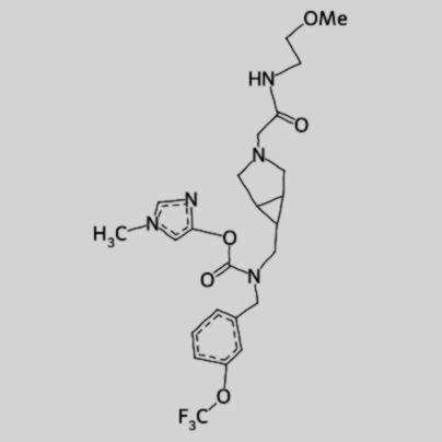 COCCNC(=O)CN1CC2C(C1)C2CN(Cc1cccc(OC(F)(F)F)c1)C(=O)Oc1cn(C)cn1